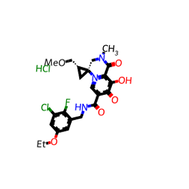 CCOc1cc(Cl)c(F)c(CNC(=O)c2cn3c(c(O)c2=O)C(=O)N(C)C[C@@]32C[C@@H]2COC)c1.Cl